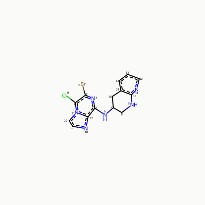 Clc1c(Br)nc(NC2CNc3ncccc3C2)c2nccn12